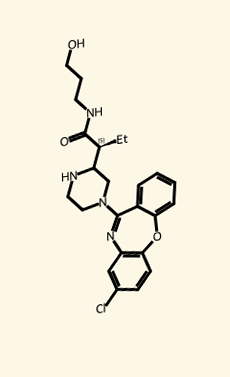 CC[C@H](C(=O)NCCCO)C1CN(C2=Nc3cc(Cl)ccc3Oc3ccccc32)CCN1